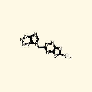 Nc1nc2nnc(Cn3cnc4nnnnc43)nc2s1